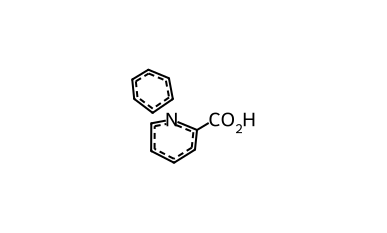 O=C(O)c1ccccn1.c1ccccc1